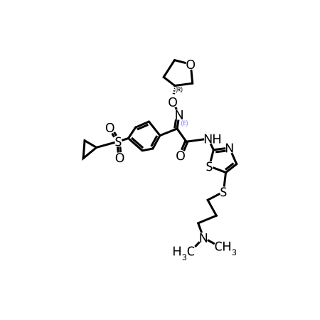 CN(C)CCCSc1cnc(NC(=O)/C(=N/O[C@@H]2CCOC2)c2ccc(S(=O)(=O)C3CC3)cc2)s1